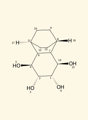 O[C@@H]1[C@H](O)[C@@H](O)C2C([C@H]3CC[C@H]2CC3)[C@H]1O